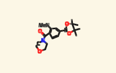 CNc1cc(B2OC(C)(C)C(C)(C)O2)ccc1C(=O)N1CCOCC1